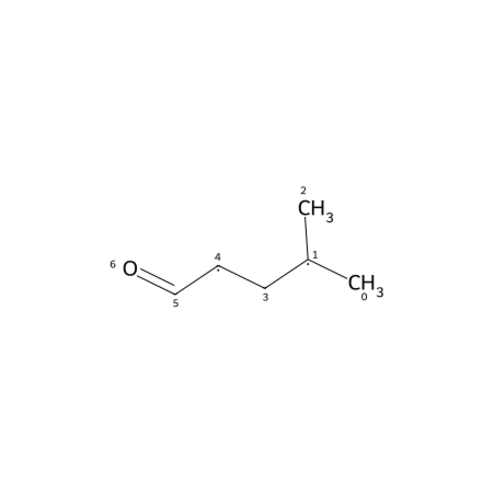 C[C](C)C[CH]C=O